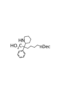 CCCCCCCCCCCCCCC(C(=O)O)(c1ccccc1)C1CCCCN1